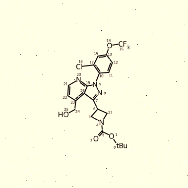 CC(C)(C)OC(=O)N1CC(c2nn(-c3ccc(OC(F)(F)F)cc3Cl)c3nccc(CO)c23)C1